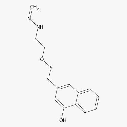 C=NNCCOSSc1cc(O)c2ccccc2c1